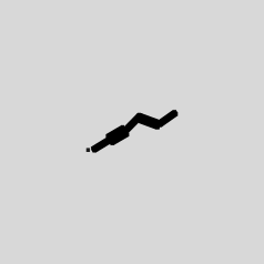 [CH2]C#CC=CC